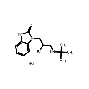 CC(C)(C)NCC(O)Cn1c(=O)[nH]c2ccccc21.Cl